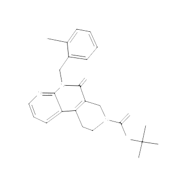 CC(C)(C)OC(=O)N1CCc2c(c(=O)n(Cc3ccccc3Cl)c3ncccc23)C1